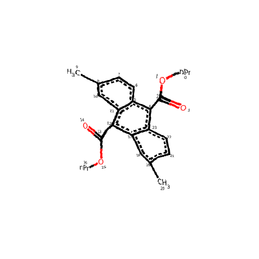 CCCOC(=O)c1c2ccc(C)cc2c(C(=O)OCCC)c2cc(C)ccc12